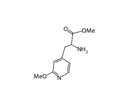 COC(=O)C(N)Cc1ccnc(OC)c1